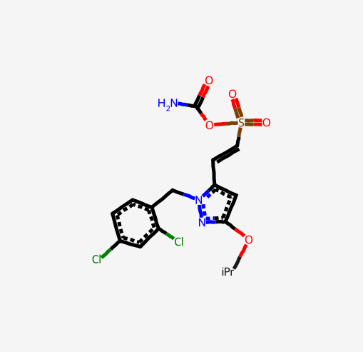 CC(C)Oc1cc(C=CS(=O)(=O)OC(N)=O)n(Cc2ccc(Cl)cc2Cl)n1